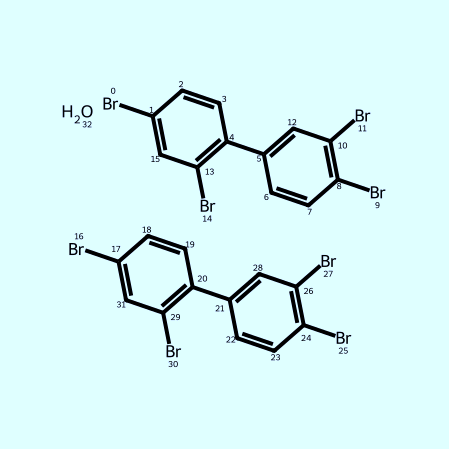 Brc1ccc(-c2ccc(Br)c(Br)c2)c(Br)c1.Brc1ccc(-c2ccc(Br)c(Br)c2)c(Br)c1.O